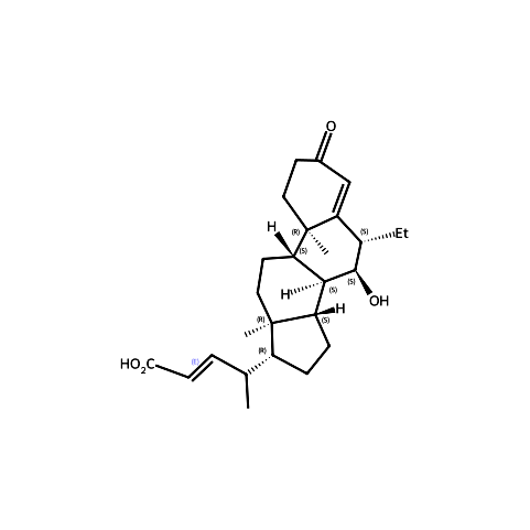 CC[C@H]1C2=CC(=O)CC[C@]2(C)[C@H]2CC[C@]3(C)[C@@H](C(C)/C=C/C(=O)O)CC[C@H]3[C@@H]2[C@@H]1O